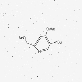 CCCCc1cnc(COC(C)=O)cc1OC